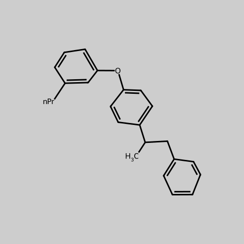 CCCc1cccc(Oc2ccc(C(C)Cc3ccccc3)cc2)c1